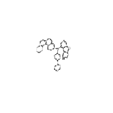 c1ccc(-c2ccc(N(c3ccc4c(ccc5ccc6ccccc6c54)c3)c3cccc4oc5ccncc5c34)cc2)cc1